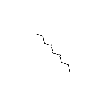 CCCSSSCCC